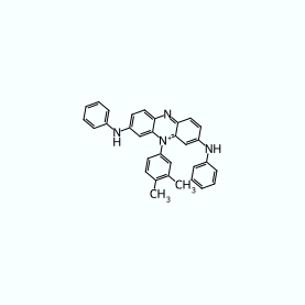 Cc1ccc(-[n+]2c3cc(Nc4ccccc4)ccc3nc3ccc(Nc4ccccc4)cc32)cc1C